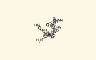 CNC(=O)NC[C@H](Cc1ccccc1)NC(=O)NC[C@@H](NC(=O)NC[C@H](CC(C)C)NC(=O)NC[C@H](CCCCN)NC(=O)NC[C@@H](N)Cc1ccc(O)cc1)C(C)C